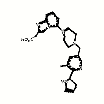 Cc1cc(CN2CCN(c3cccc4nc(C(=O)O)cn34)CC2)cnc1C1CCCN1